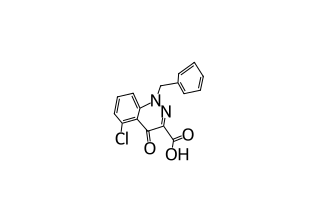 O=C(O)c1nn(Cc2ccccc2)c2cccc(Cl)c2c1=O